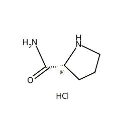 Cl.NC(=O)[C@H]1CCCN1